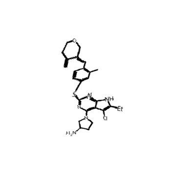 C=C1CCOC/C1=C/c1ccc(Sc2nc(N3CC[C@@H](N)C3)c3c(Cl)c(CC)[nH]c3n2)cc1C